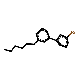 CCCCCCc1cccc(-c2cccc(Br)c2)c1